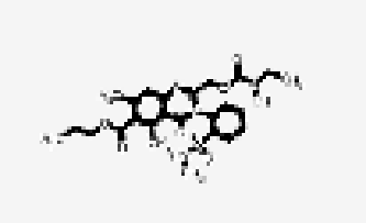 CCCOC(=O)c1c(C)cc2nc(COC(=O)N(O)CC)n(-c3ccccc3S(=O)(=O)NC)c(=O)c2c1C